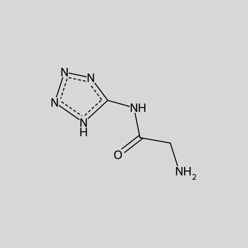 NCC(=O)Nc1nnn[nH]1